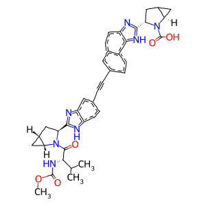 COC(=O)N[C@H](C(=O)N1[C@@H]2C[C@@H]2C[C@H]1c1nc2cc(C#Cc3ccc4c(ccc5nc([C@@H]6CC7C[C@H]7N6C(=O)O)[nH]c54)c3)ccc2[nH]1)C(C)C